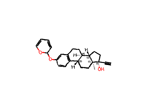 C#C[C@]1(O)CC[C@H]2[C@@H]3CCc4cc(OC5C=CC=CO5)ccc4[C@H]3CC[C@@]21C